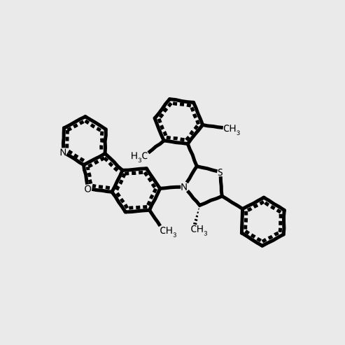 Cc1cc2oc3ncccc3c2cc1N1C(c2c(C)cccc2C)SC(c2ccccc2)[C@@H]1C